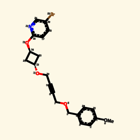 COc1ccc(COCC#CCO[C@H]2C[C@H](Oc3ccc(Br)cn3)C2)cc1